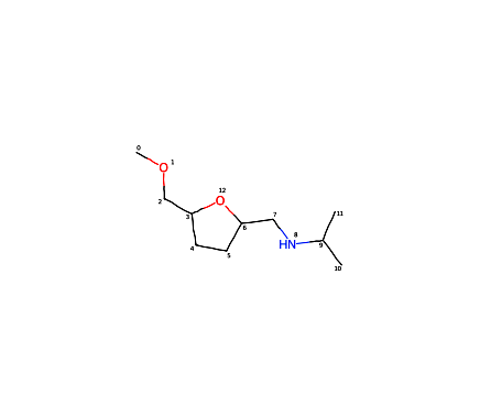 COCC1CCC(CNC(C)C)O1